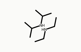 CC(C)NC(C)C.CCNCC